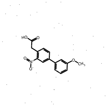 COc1cccc(-c2ccc(CC(=O)O)c([N+](=O)[O-])c2)c1